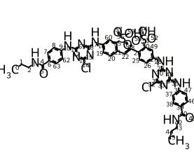 CCCNC(=O)c1ccc(Nc2nc(Cl)nc(Nc3ccc(/C=C/c4ccc(Nc5nc(Cl)nc(Nc6ccc(C(=O)NCCC)cc6)n5)cc4S(=O)(=O)O)c(S(=O)(=O)O)c3)n2)cc1